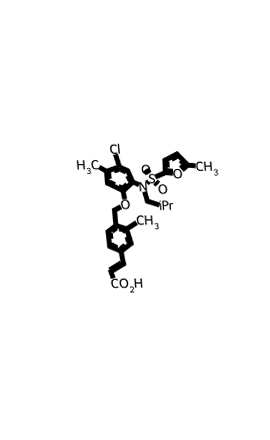 Cc1ccc(S(=O)(=O)N(CC(C)C)c2cc(Cl)c(C)cc2OCc2ccc(C=CC(=O)O)cc2C)o1